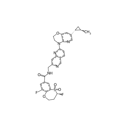 C[C@@H]1C[C@H]1c1cnc2c(c1)OCCN2c1ccc2cnc(CNC(=O)c3cc(F)c4c(c3)S(=O)(=O)[C@@H](F)CCO4)cc2n1